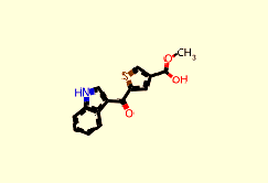 COC(O)c1csc(C(=O)c2c[nH]c3ccccc23)c1